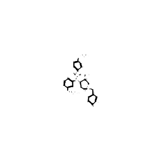 COc1ccc(S(=O)(=O)N(c2cccc(OC)c2)[C@@H]2CCN(Cc3ccccc3)C[C@@H]2C)cc1